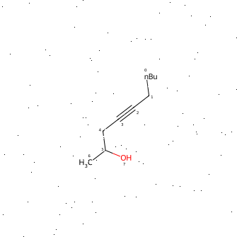 CCCCCC#CCC(C)O